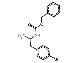 CC(Cc1ccc(Br)cc1)NC(=O)OCc1ccccc1